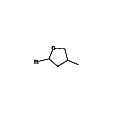 CCC1CC(C)CO1